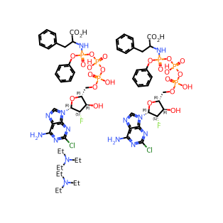 CCN(CC)CC.CCN(CC)CC.Nc1nc(Cl)nc2c1ncn2[C@@H]1O[C@H](COP(=O)(O)OP(=O)(O)OP(=O)(NC(Cc2ccccc2)C(=O)O)Oc2ccccc2)[C@@H](O)[C@@H]1F.Nc1nc(Cl)nc2c1ncn2[C@@H]1O[C@H](COP(=O)(O)OP(=O)(O)OP(=O)(NC(Cc2ccccc2)C(=O)O)Oc2ccccc2)[C@@H](O)[C@@H]1F